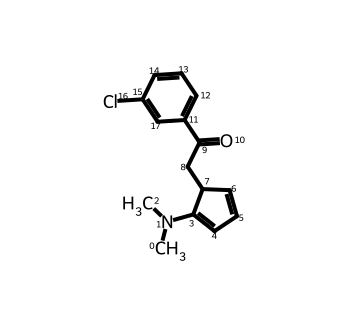 CN(C)C1=CC=CC1CC(=O)c1cccc(Cl)c1